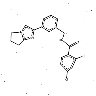 O=C(NCc1cccc(-c2cn3c(n2)CCC3)c1)c1ccc(Cl)cc1Cl